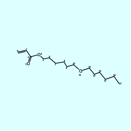 C=CC(=O)OCCCCCCOCCCCCC